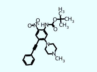 CN1CCN(c2cc(NC(=O)OC(C)(C)C)c([N+](=O)[O-])cc2C#Cc2ccccc2)CC1